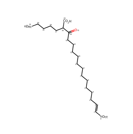 CCCCCCCCC=CCCCCCCCCCCCC(=O)C(CCCCCCCCCCCCCC)C(=O)O